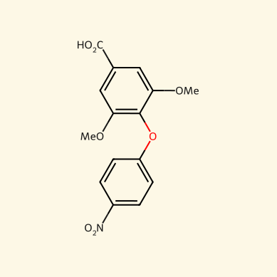 COc1cc(C(=O)O)cc(OC)c1Oc1ccc([N+](=O)[O-])cc1